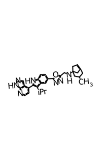 CC1CC2=CCC(NCc3nnc(-c4ccc5[nH]c(-c6ccnc7[nH]ncc67)c(C(C)C)c5c4)o3)(C2)C1